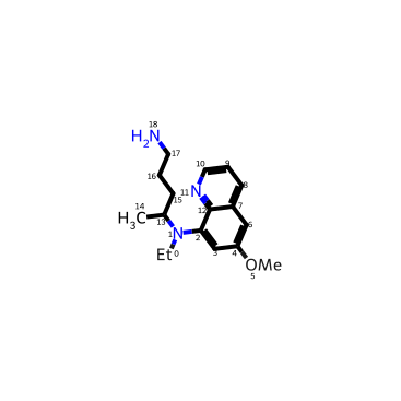 CCN(c1cc(OC)cc2cccnc12)C(C)CCCN